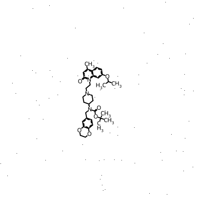 Cc1cc(=O)n(CCN2CCC(N(Cc3ccc4c(c3)OCCO4)C(=O)OC(C)(C)C)CC2)c2cc(OC(C)C)ccc12